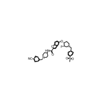 CS(=O)(=O)c1ccc(CN2CC[C@@H](Oc3ccc4oc(C(=O)NC5CCN(Cc6ccc(C#N)cc6)CC5)cc4c3)[C@H](F)C2)cc1